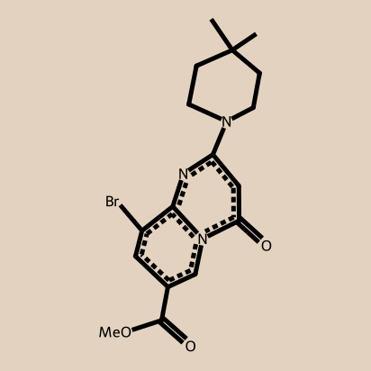 COC(=O)c1cc(Br)c2nc(N3CCC(C)(C)CC3)cc(=O)n2c1